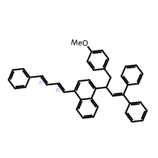 COc1ccc(CC(C=C(c2ccccc2)c2ccccc2)c2ccc(/C=C/C=C/c3ccccc3)c3ccccc23)cc1